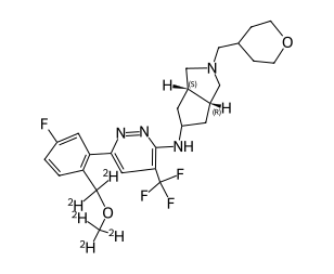 [2H]C([2H])([2H])OC([2H])([2H])c1ccc(F)cc1-c1cc(C(F)(F)F)c(NC2C[C@@H]3CN(CC4CCOCC4)C[C@@H]3C2)nn1